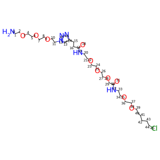 NCCOCCOCCOCCn1cc(CCC(=O)NCCOCCOCCOCC(=O)NCCOCCOCCCCCCCl)nn1